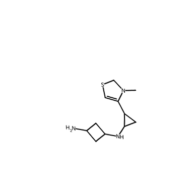 CN1CSC=C1C1CC1NC1CC(N)C1